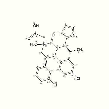 CC[C@H](c1nccs1)N1C(=O)[C@@](C)(CC(=O)O)C[C@H](c2cccc(Cl)c2)[C@H]1c1ccc(Cl)cc1